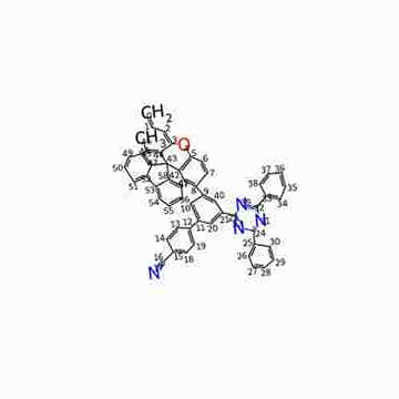 C=C/C=C1/Oc2ccc(-c3cc(-c4ccc(C#N)cc4)cc(-c4nc(-c5ccccc5)nc(-c5ccccc5)n4)c3)cc2C2(/C1=C/C)c1ccccc1-c1ccccc12